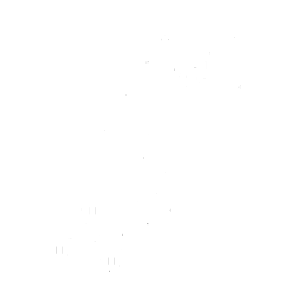 CC(=CCCC(C)CO[Si](C)(C)C(C)(C)C)/C=C/OP(=O)(O)OP(=O)(O)O